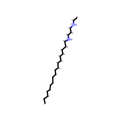 CCCCCCCCCCCCCCCCCCNCCCNCC